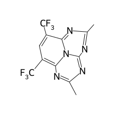 CC1=NC2=NC(C)=NC3=C(C(F)(F)F)C=C(C(F)(F)F)C(=N1)N23